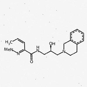 C/C=C\C(=N/NC)C(=O)NC[C@@H](O)CN1CCc2ccccc2C1